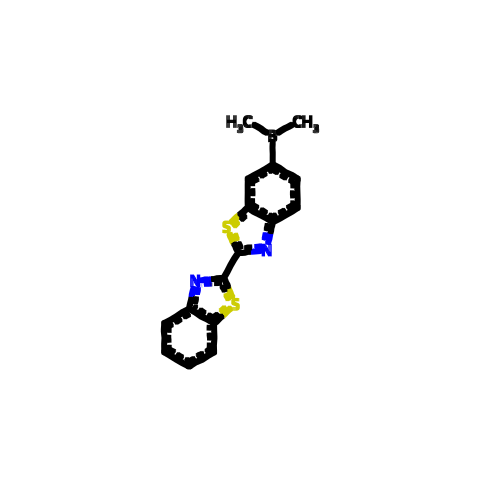 CB(C)c1ccc2nc(-c3nc4ccccc4s3)sc2c1